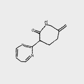 C=C1CCC(c2ncccn2)C(=O)N1